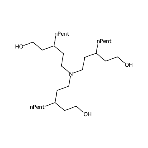 CCCCCC(CCO)CCN(CCC(CCO)CCCCC)CCC(CCO)CCCCC